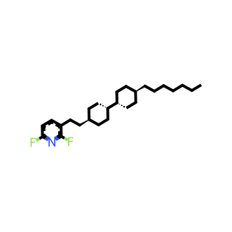 CCCCCCC[C@H]1CC[C@H]([C@H]2CC[C@H](CCc3ccc(F)nc3F)CC2)CC1